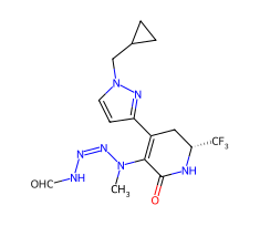 CN(/N=N\NC=O)C1=C(c2ccn(CC3CC3)n2)C[C@H](C(F)(F)F)NC1=O